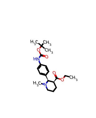 CCOC(=O)[C@H]1CCCN(C)[C@H]1c1ccc(NC(=O)OC(C)(C)C)cc1